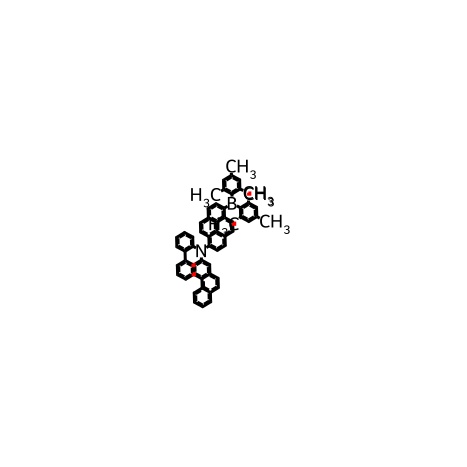 Cc1cc(C)c(B(c2c(C)cc(C)cc2C)c2ccc3ccc4c(N(c5ccc6c(ccc7ccccc76)c5)c5ccccc5-c5ccccc5)ccc5ccc2c3c54)c(C)c1